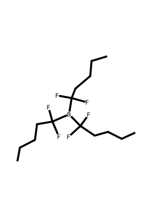 CCCCC(F)(F)B(C(F)(F)CCCC)C(F)(F)CCCC